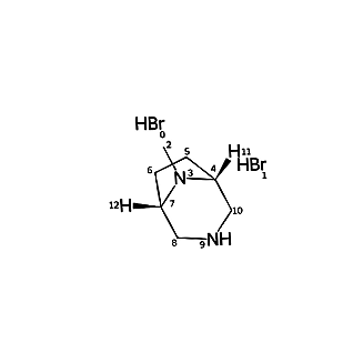 Br.Br.CN1[C@@H]2CC[C@H]1CNC2